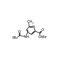 COC(=O)c1cc(NC(=O)C(C)(C)C)cc(C)n1